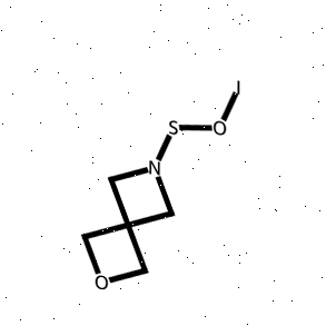 IOSN1CC2(COC2)C1